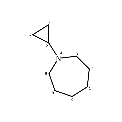 C1CCCN(C2CC2)CC1